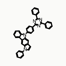 c1ccc(-c2nc(-c3ccccc3)nc(-c3ccc(-n4c5ccccc5c5cc6c(ccn6-c6ccccc6)cc54)cc3)n2)cc1